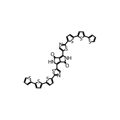 O=C1NC(c2cnc(-c3ccc(-c4ccc(-c5cccs5)s4)s3)s2)=C2C(=O)NC(c3cnc(-c4ccc(-c5ccc(-c6cccs6)s5)s4)s3)=C12